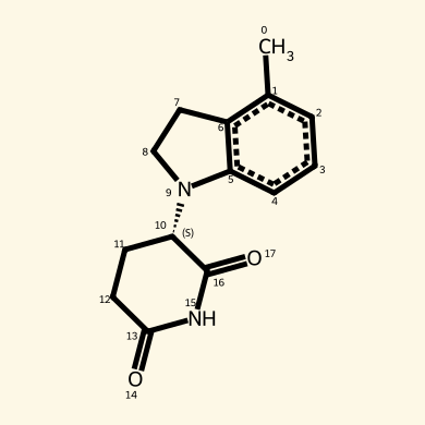 Cc1cccc2c1CCN2[C@H]1CCC(=O)NC1=O